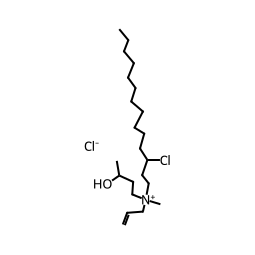 C=CC[N+](C)(CCC(C)O)CCC(Cl)CCCCCCCCCCC.[Cl-]